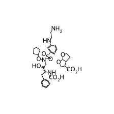 NCCNc1cccc(S(=O)(=O)N(C[C@@H](O)[C@H](Cc2ccccc2)NC(=O)O)OC2CCCC2)c1.O=C(O)C1COC2OCCC21